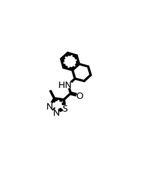 Cc1nnsc1C(=O)NC1CCCc2ccccc21